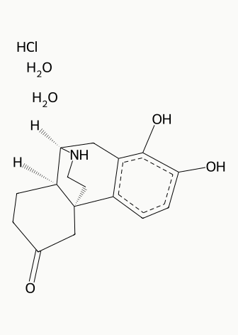 Cl.O.O.O=C1CC[C@H]2[C@H]3Cc4c(ccc(O)c4O)[C@@]2(CCN3)C1